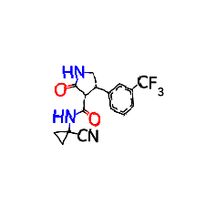 N#CC1(NC(=O)C2C(=O)NCC2c2cccc(C(F)(F)F)c2)CC1